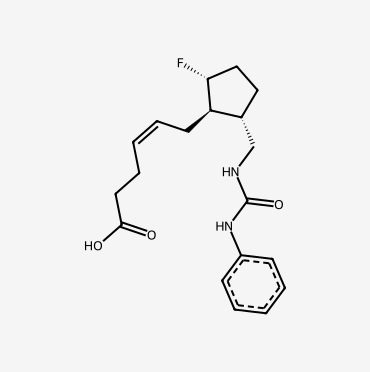 O=C(O)CC/C=C\C[C@@H]1[C@@H](CNC(=O)Nc2ccccc2)CC[C@H]1F